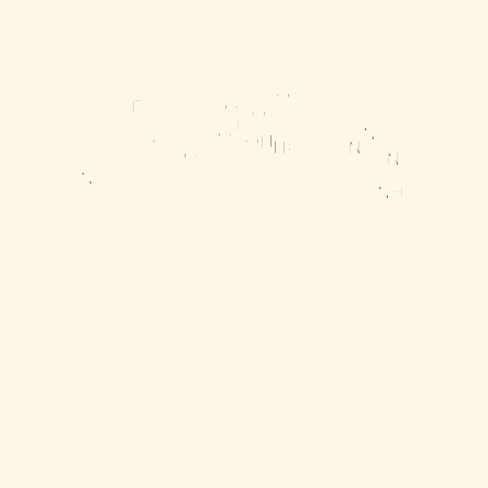 CCCCCCCCCCCCCCCC[C@@H](COP(=O)(O)OC[C@@](C)(OC)[C@@H](O)Cc1ccc2c(N)ncnn12)OCc1cc(F)cc(C#N)c1